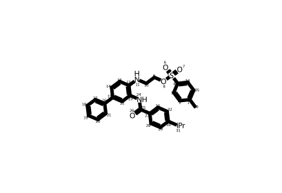 Cc1ccc(S(=O)(=O)OCCNc2ccc(-c3ccccc3)cc2NC(=O)c2ccc(C(C)C)cc2)cc1